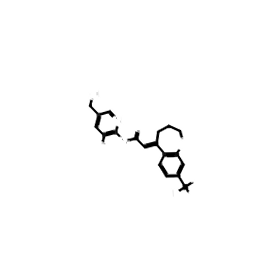 O=C(C=C1CCCOc2cc(C(F)(F)F)ccc21)Nc1ncc(CO)cc1Cl